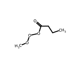 CCCC(=O)OOOC